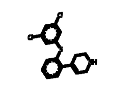 Clc1cc(Cl)cc(Sc2ccccc2C2=CCNCC2)c1